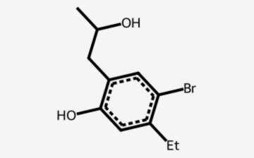 CCc1cc(O)c(CC(C)O)cc1Br